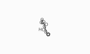 O=C1OCC(C(=O)OCC(O)COc2ccccc2)O1